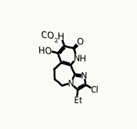 CCc1c(Cl)nc2n1CCCc1c-2[nH]c(=O)c(C(=O)O)c1O